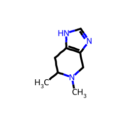 CC1Cc2[nH]cnc2CN1C